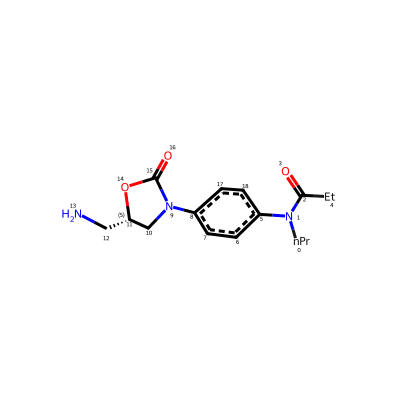 CCCN(C(=O)CC)c1ccc(N2C[C@H](CN)OC2=O)cc1